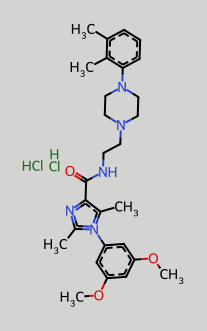 COc1cc(OC)cc(-n2c(C)nc(C(=O)NCCN3CCN(c4cccc(C)c4C)CC3)c2C)c1.Cl.Cl